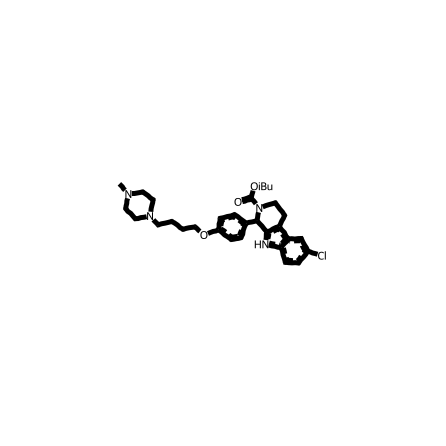 CC(C)COC(=O)N1CCc2c([nH]c3ccc(Cl)cc23)C1c1ccc(OCCCCN2CCN(C)CC2)cc1